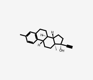 C#C[C@]1(O)CC[C@H]2[C@@H]3CCc4cc(C)ccc4[C@H]3CC[C@@]21C